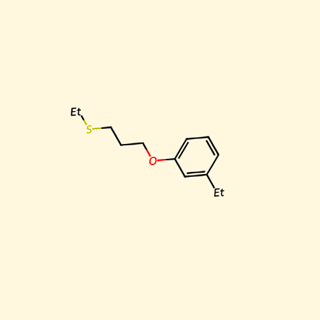 CCSCCCOc1cccc(CC)c1